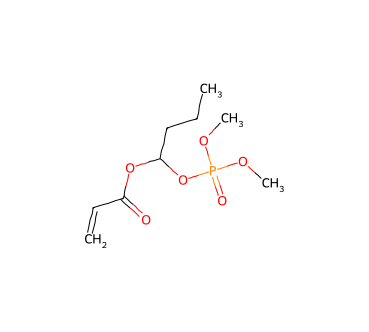 C=CC(=O)OC(CCC)OP(=O)(OC)OC